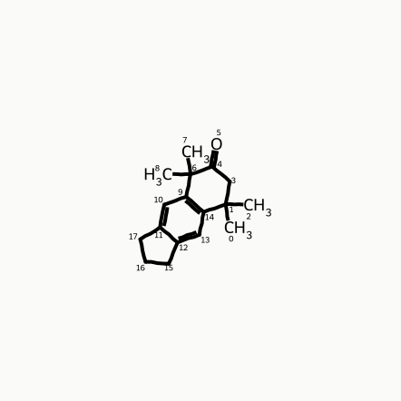 CC1(C)CC(=O)C(C)(C)c2cc3c(cc21)CCC3